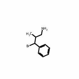 CC(CN)C(Br)c1ccccc1